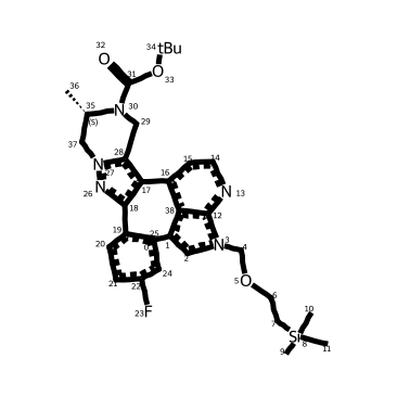 Cc1cn(COCC[Si](C)(C)C)c2nccc(-c3c(-c4ccc(F)cc4)nn4c3CN(C(=O)OC(C)(C)C)[C@@H](C)C4)c12